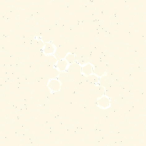 Nc1ncc(-c2nc(N3CCOCC3)nc3c2CCN3c2ccc(C(=O)NCc3ccccn3)cc2)cn1